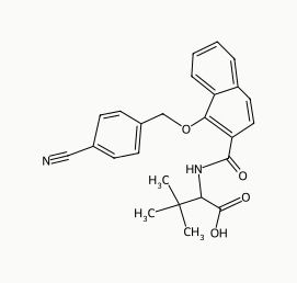 CC(C)(C)C(NC(=O)c1ccc2ccccc2c1OCc1ccc(C#N)cc1)C(=O)O